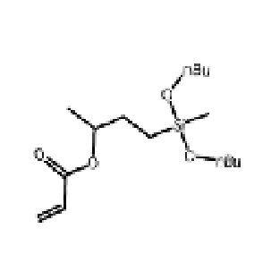 C=CC(=O)OC(C)CC[Si](C)(OCCCC)OCCCC